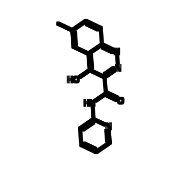 Cc1ccc2nnc(C(=O)Nc3ccccn3)c(O)c2c1